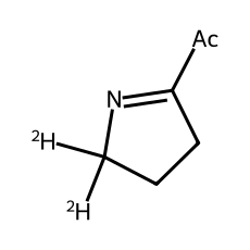 [2H]C1([2H])CCC(C(C)=O)=N1